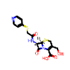 O=C(CSc1ccncc1)N[C@@H]1C(=O)N2C(C(=O)O)=C(CO)CS[C@H]12